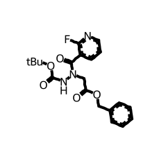 CC(C)(C)OC(=O)NN(CC(=O)OCc1ccccc1)C(=O)c1cccnc1F